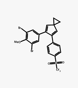 COc1c(Br)cc(C2=CC3(C=C2c2ccc(S(=O)(=O)C(F)(F)F)cc2)CC3)cc1Br